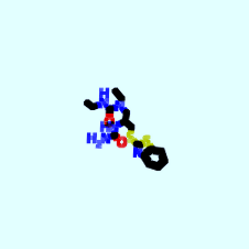 CCNC(=O)N(CC)CC(CSc1nc2ccccc2s1)NC(N)=O